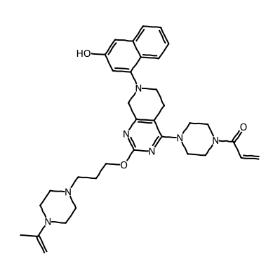 C=CC(=O)N1CCN(c2nc(OCCCN3CCN(C(=C)C)CC3)nc3c2CCN(c2cc(O)cc4ccccc24)C3)CC1